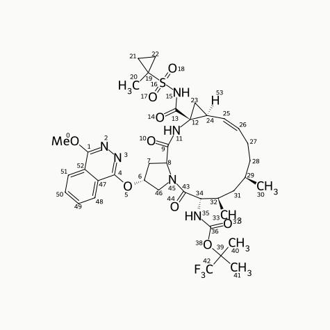 COc1nnc(O[C@@H]2CC3C(=O)N[C@]4(C(=O)NS(=O)(=O)C5(C)CC5)C[C@H]4/C=C\CC[C@@H](C)C[C@@H](C)[C@H](NC(=O)OC(C)(C)C(F)(F)F)C(=O)N3C2)c2ccccc12